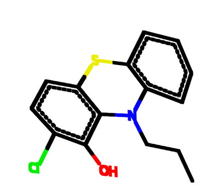 CCCN1c2ccccc2Sc2ccc(Cl)c(O)c21